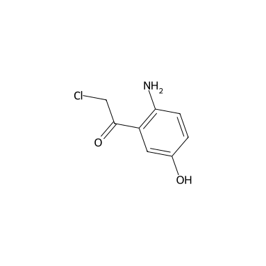 Nc1ccc(O)cc1C(=O)CCl